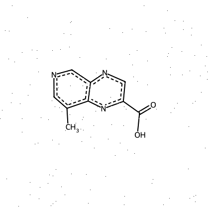 Cc1cncc2ncc(C(=O)O)nc12